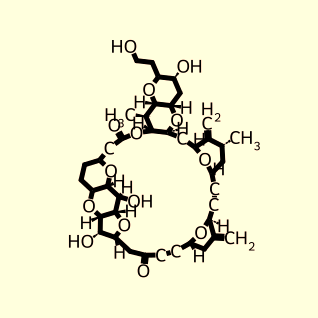 C=C1C[C@@H]2CCC(=O)C[C@H]3O[C@H]4[C@@H](O)[C@H]5OC(CCC5O[C@H]4[C@H]3O)CC(=O)O[C@@H]3[C@@H](C)[C@@H]4OC(CCO)[C@H](O)C[C@@H]4O[C@H]3C[C@H]3O[C@@H](CC[C@@H]1O2)C[C@@H](C)C3=C